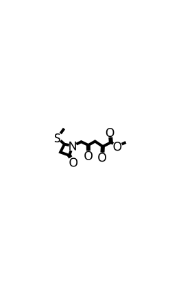 COC(=O)C(=O)CC(=O)CN1C(=O)CC1SC